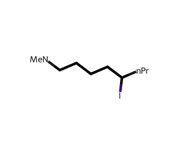 CCCC(I)CCCCNC